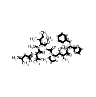 CC[C@H](C)[C@@H]([C@@H](CC(=O)N1CCC[C@H]1[C@H](OC)[C@@H](C)C(=O)N[C@@H](Cc1ccccc1)c1nccs1)OC)N(C)C(=O)[C@@H](NC(=O)CC(C)C)C(C)C